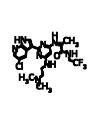 C[C@H](Nc1cc(NCCN(C)C)nc(-c2c[nH]c3ncc(Cl)cc23)n1)C(=O)NCC(F)(F)F